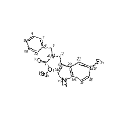 CC(C)(C)OC(=O)N(Cc1ccccc1)Cc1c[nH]c2ccc(F)cc12